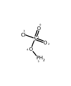 O=S(=O)(Cl)OP